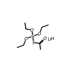 CCO[Si](OCC)(OCC)SC(C)=O.[LiH]